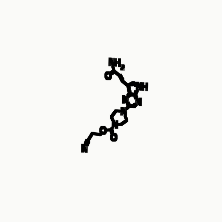 N#CCCOC(=O)N1CCN(c2cnc3[nH]cc(/C=C/C(N)=O)c3n2)CC1